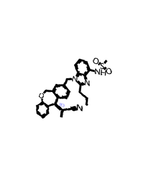 CCCc1nc2c(NS(C)(=O)=O)cccc2n1Cc1ccc2c(c1)COc1ccccc1/C2=C(\C)C#N